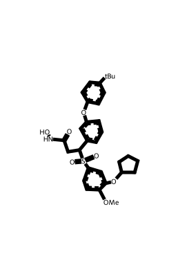 COc1ccc(S(=O)(=O)C(CC(=O)NO)c2cccc(Oc3ccc(C(C)(C)C)cc3)c2)cc1OC1CCCC1